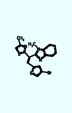 Cc1csc(/C(=C/c2cc(Br)cs2)c2nc3ccccc3n2C)n1